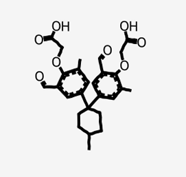 Cc1cc(C2(c3cc(C)c(OCC(=O)O)c(C=O)c3)CCC(C)CC2)cc(C=O)c1OCC(=O)O